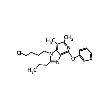 CCCc1nc2c(Oc3ccccc3)nc(C)c(C)c2n1CCCCCl